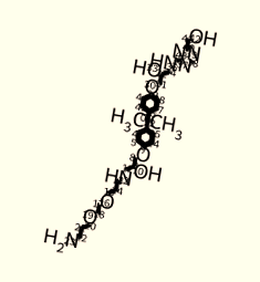 CC(C)(c1ccc(OCC(O)CNCCCOCCOCCCN)cc1)c1ccc(OCC(O)CNc2ncnc(CO)n2)cc1